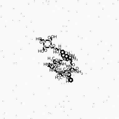 CSCC[C@H](NC(=O)[C@H](CC(C)C)NC(=O)[C@H](Cc1c[nH]cn1)NC(=O)CNC(=O)[C@@H](NC(=O)[C@H](C)NC(=O)[C@H](Cc1c[nH]c2ccccc12)NC(=O)[C@H](CCC(N)=O)NC(=O)CC[C@@H](C)[C@H]1CCC2C3CC[C@@H]4C[C@@H](NC(=O)CNC(=O)CN5CCN(CC(=O)O)CCN(CC(=O)O)CCN(CC(=O)O)CC5)CC[C@]4(C)C3C[C@H](O)[C@@]21C)C(C)C)C(N)=O